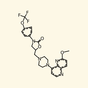 COc1ccc2nccc(N3CCN(CC4CN(c5ccc(OC(F)(F)F)cc5)C(=O)O4)CC3)c2n1